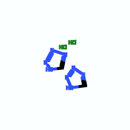 Cl.Cl.c1nnn[nH]1.c1nnn[nH]1